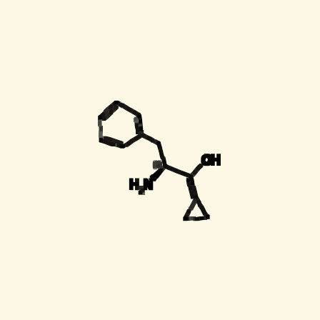 N[C@@H](Cc1ccccc1)C(O)=C1CC1